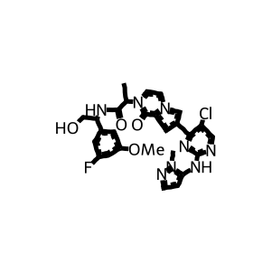 COc1cc(F)cc(C(CO)NC(=O)C(C)n2ccn3cc(-c4nc(Nc5ccnn5C)ncc4Cl)cc3c2=O)c1